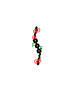 C=CC(=O)OCCCCc1ccc(-c2ccc(-c3ccc(OCCCOC(=O)C=C)cc3)c(F)c2)c(F)c1